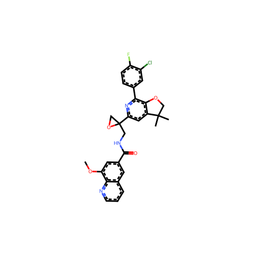 COc1cc(C(=O)NCC2(c3cc4c(c(-c5ccc(F)c(Cl)c5)n3)OCC4(C)C)CO2)cc2cccnc12